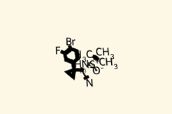 CC(C)(C)[S@@+]([O-])N[C@@H](C#N)C1(c2ccc(Br)c(F)c2)CC1